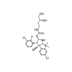 CC(C)(C)[C@@H]1N[C@H](OC(=O)NCC[C@H](O)CO)[C@H](c2cccc(Cl)c2F)[C@@]1(C#N)c1ccc(Cl)cc1